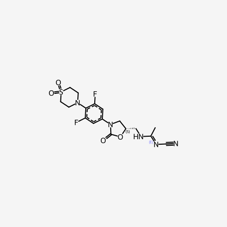 C/C(=N\C#N)NC[C@H]1CN(c2cc(F)c(N3CCS(=O)(=O)CC3)c(F)c2)C(=O)O1